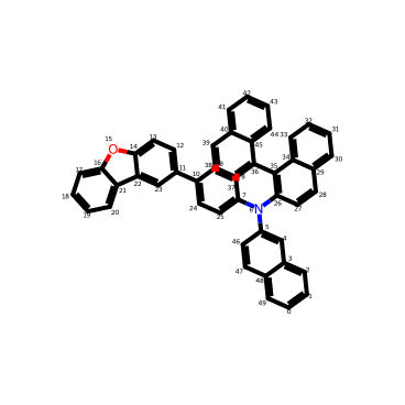 c1ccc2cc(N(c3ccc(-c4ccc5oc6ccccc6c5c4)cc3)c3ccc4ccccc4c3-c3cccc4ccccc34)ccc2c1